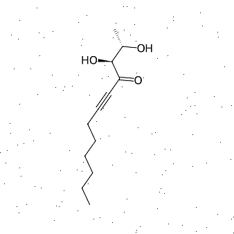 CCCCCCC#CC(=O)[C@@H](O)[C@H](C)O